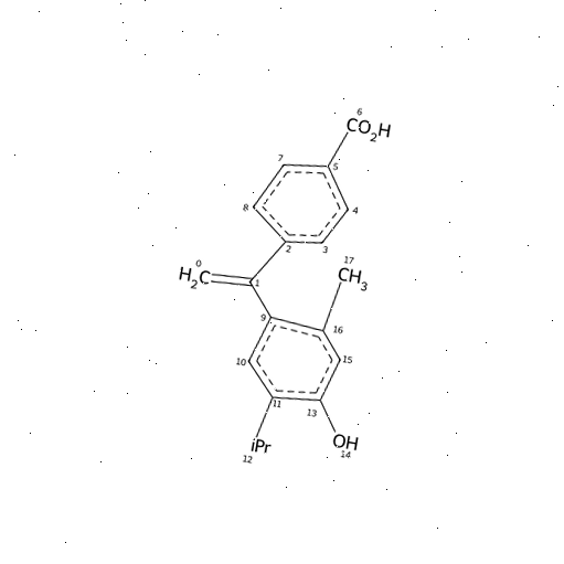 C=C(c1ccc(C(=O)O)cc1)c1cc(C(C)C)c(O)cc1C